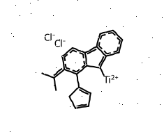 CC(C)=c1ccc2c(c1C1=CC=CC1)[C]([Ti+2])=c1ccccc1=2.[Cl-].[Cl-]